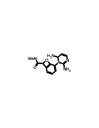 CNC(=O)C1Oc2c1cccc2N1C(N)=NC=CC1N